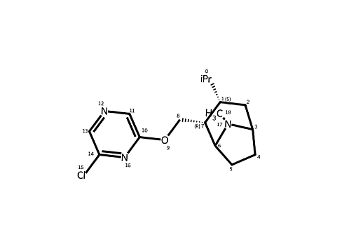 CC(C)[C@@H]1CC2CCC([C@@H]1COc1cncc(Cl)n1)N2C